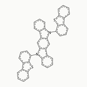 c1ccc2c(c1)sc1c(-n3c4ccccc4c4cc5c(cc43)c3ccccc3n5-c3cccc4c3sc3ccccc34)cccc12